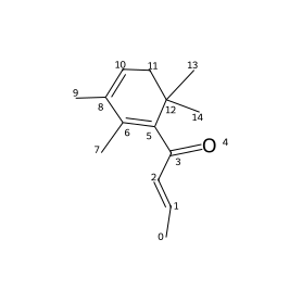 C/C=C/C(=O)C1=C(C)C(C)=CCC1(C)C